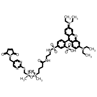 CCN(CC)c1ccc2c(-c3ccc(S(=O)(=O)NCCNC(=O)CCC[Si](C)(C)O[Si](C)(C)CSc4ncc(CN5C(=O)C=CC5=O)cn4)cc3S(=O)(=O)O)c3ccc(=[N+](CC)CC)cc-3oc2c1